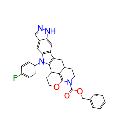 O=C(OCc1ccccc1)N1CCC2Cc3c(n(-c4ccc(F)cc4)c4cc5cn[nH]c5cc34)C3CCOC1=C23